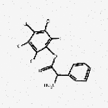 O=C(O)C(C(=O)Oc1c(Cl)c(Cl)c(Cl)c(Cl)c1Cl)c1ccccc1